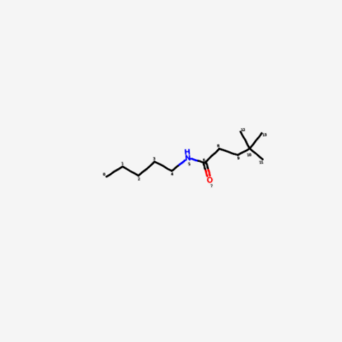 CCCCCNC(=O)CCC(C)(C)C